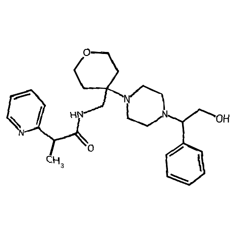 CC(C(=O)NCC1(N2CCN(C(CO)c3ccccc3)CC2)CCOCC1)c1ccccn1